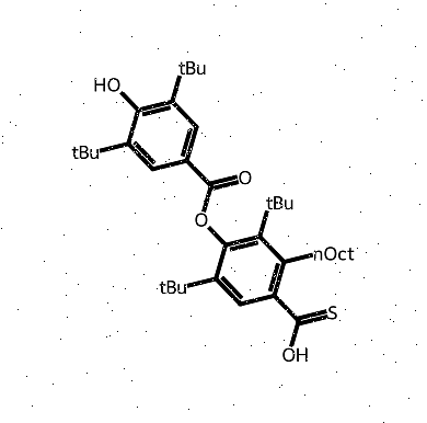 CCCCCCCCc1c(C(O)=S)cc(C(C)(C)C)c(OC(=O)c2cc(C(C)(C)C)c(O)c(C(C)(C)C)c2)c1C(C)(C)C